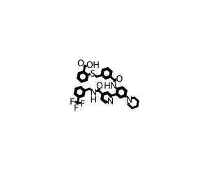 O=C(NCc1cccc(C(F)(F)F)c1)c1ccnc(-c2cc(N3CCCCC3)ccc2NC(=O)c2cccc(CSc3ccccc3C(=O)O)c2)c1